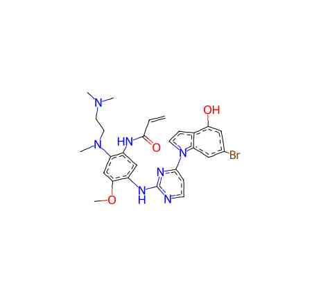 C=CC(=O)Nc1cc(Nc2nccc(-n3ccc4c(O)cc(Br)cc43)n2)c(OC)cc1N(C)CCN(C)C